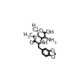 COC(=O)C(Cc1ccc2c(c1)OCO2)NC(CSC)[C@H](N)C(=O)O